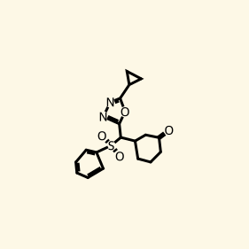 O=C1CCCC(C(c2nnc(C3CC3)o2)S(=O)(=O)c2ccccc2)C1